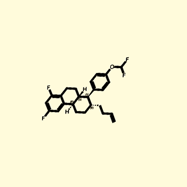 C=CCC[C@@H]1CC[C@H]2c3cc(F)cc(F)c3CC[C@@H]2[C@H]1c1ccc(OC(F)F)cc1